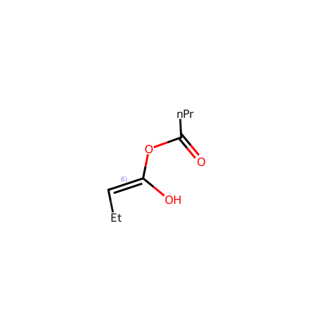 CC/C=C(\O)OC(=O)CCC